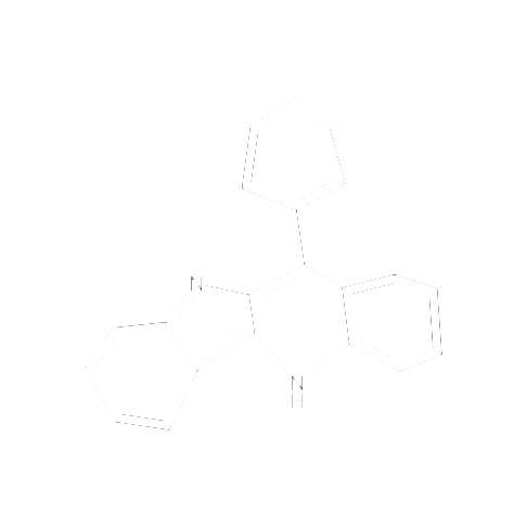 c1ccc(-c2c3nc4ccccc4c-3[nH]c3ccccc23)cc1